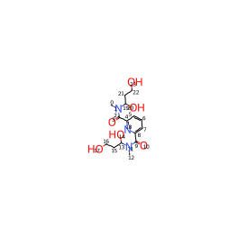 CN(C(=O)c1cccc(C(=O)N(C)C(O)CCO)n1)C(O)CCO